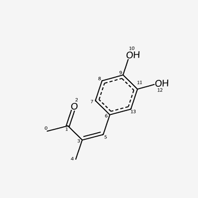 CC(=O)C(C)=Cc1ccc(O)c(O)c1